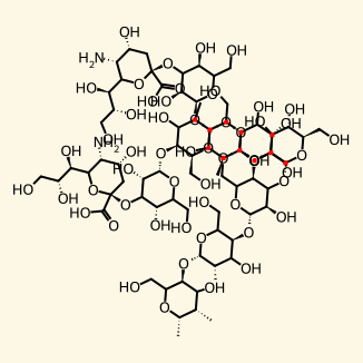 CC1C(O)[C@H](O[C@@H]2OC(CO)[C@H](O)C(O[C@]3(C(=O)O)C[C@@H](O)[C@@H](N)C([C@H](O)[C@H](O)CO)O3)[C@@H]2O)[C@H](CO)O[C@H]1O[C@@H]1C(O)[C@H](O)C(CO)O[C@@H]1OCC1O[C@@H](O[C@@H]2C(CO)O[C@@H](O[C@@H]3C(CO)O[C@@H](C)[C@@H](C)C3O)[C@@H](C)C2O)[C@H](O)C(O[C@H]2O[C@H](CO)[C@@H](O)C(O)C2O[C@@H]2OC(CO)[C@@H](O[C@@H]3OC(CO)[C@H](O)C(O[C@]4(C(=O)O)C[C@@H](O)[C@@H](N)C([C@H](O)[C@H](O)CO)O4)[C@@H]3O)C(O)[C@@H]2C)[C@@H]1O